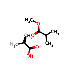 C=C(C)C(=O)O.COC(=O)C(C)C